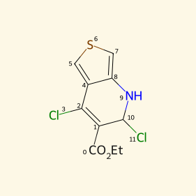 CCOC(=O)C1=C(Cl)c2cscc2NC1Cl